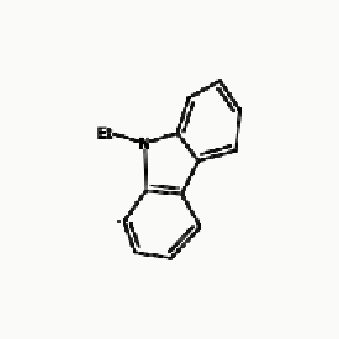 CCn1c2[c]cccc2c2ccccc21